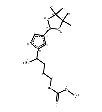 CCCCC(CCCNC(=O)OC(C)(C)C)n1cc(B2OC(C)(C)C(C)(C)O2)cn1